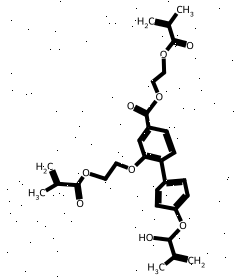 C=C(C)C(=O)OCCOC(=O)c1ccc(-c2ccc(OC(O)C(=C)C)cc2)c(OCCOC(=O)C(=C)C)c1